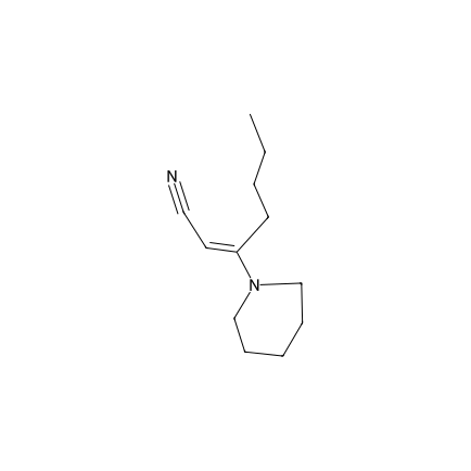 CCCCC(=CC#N)N1CCCCC1